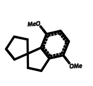 COc1ccc(OC)c2c1CCC21CCCC1